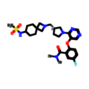 CC(C)N(C(=O)c1cc(F)ccc1Oc1cncnc1N1CC[C@H](CN2CC3(CCC(NS(C)(=O)=O)CC3)C2)C1)C(C)C